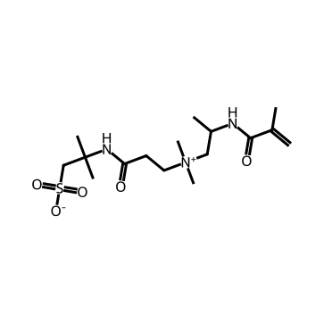 C=C(C)C(=O)NC(C)C[N+](C)(C)CCC(=O)NC(C)(C)CS(=O)(=O)[O-]